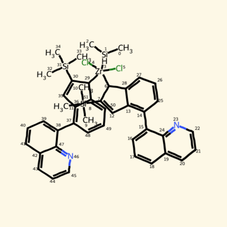 C[SiH](C)[Zr]([Cl])([Cl])([CH]1C([Si](C)(C)C)=Cc2c(-c3cccc4cccnc34)cccc21)[CH]1C([Si](C)(C)C)=Cc2c(-c3cccc4cccnc34)cccc21